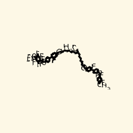 C=CC(CCCCCCCOc1ccc(-c2ccc(OC(F)(F)c3ccc(C)c(F)c3)cc2)c(F)c1)CCCCCCCOc1ccc(-c2ccc(OC(F)(F)c3c(F)c(F)c(OCC)c(F)c3F)cc2)c(F)c1